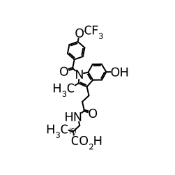 Cc1c(CCC(=O)NC[C@H](C)C(=O)O)c2cc(O)ccc2n1C(=O)c1ccc(OC(F)(F)F)cc1